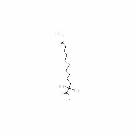 CCCOC(=O)CCCCCCCCCC(C(=O)OCCC)(C(C)C)C(C)C